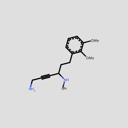 CCCNC(C#CCN)CCc1cccc(OC)c1OC